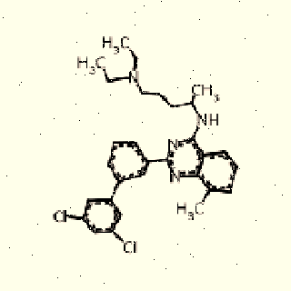 CCN(CC)CCCC(C)Nc1nc(-c2cccc(-c3cc(Cl)cc(Cl)c3)c2)nc2c(C)cccc12